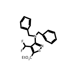 CCOC(=O)c1snc(N(Cc2ccccc2)Cc2ccccc2)c1C(F)F